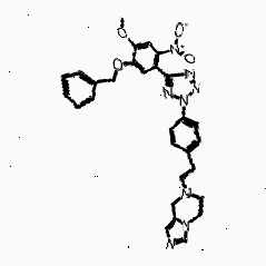 COc1cc([N+](=O)[O-])c(-c2nnn(-c3ccc(CCN4CCn5cncc5C4)cc3)n2)cc1OCc1ccccc1